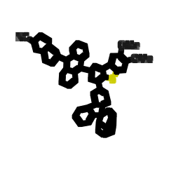 COc1cc2sc3c(-c4ccc5c(c4)-c4ccccc4C54C5CC6CC(C5)CC4C6)cc(-c4c5ccccc5c(-c5ccc6cc(C#N)ccc6c5)c5ccccc45)cc3c2cc1OC